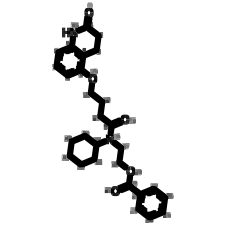 O=C1CCc2c(cccc2OCCCC(=O)N(CCOC(=O)c2ccccc2)C2CCCCC2)N1